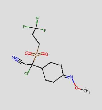 CON=C1CCC(C(Cl)(C#N)S(=O)(=O)CCC(F)(F)F)CC1